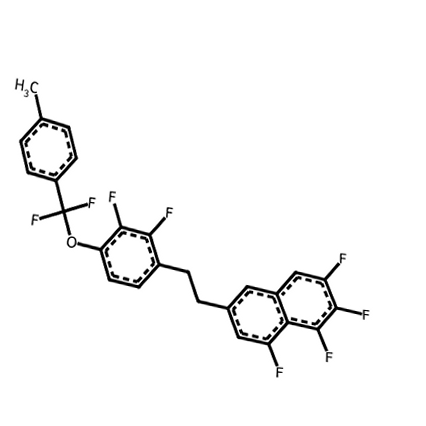 Cc1ccc(C(F)(F)Oc2ccc(CCc3cc(F)c4c(F)c(F)c(F)cc4c3)c(F)c2F)cc1